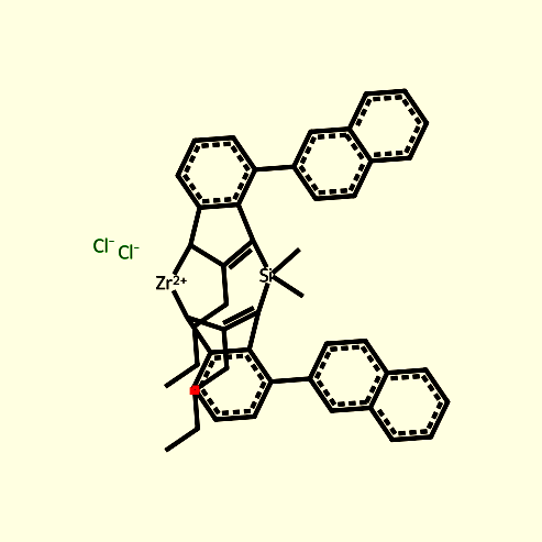 CCCCC1=C2c3c(-c4ccc5ccccc5c4)cccc3[CH]1[Zr+2][CH]1C(CCCC)=C(c3c(-c4ccc5ccccc5c4)cccc31)[Si]2(C)C.[Cl-].[Cl-]